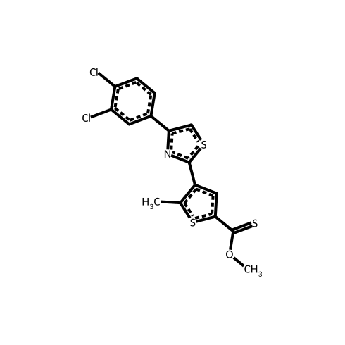 COC(=S)c1cc(-c2nc(-c3ccc(Cl)c(Cl)c3)cs2)c(C)s1